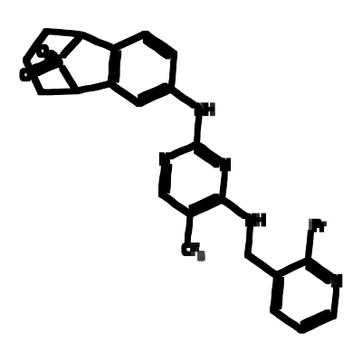 CC(C)c1ncccc1CNc1nc(Nc2ccc3c(c2)C2CCCC3S2(=O)=O)ncc1C(F)(F)F